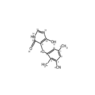 Cc1cc(C#N)c(C)c(Oc2c(O)nc[nH]c2=O)c1